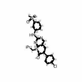 CC(C)Cn1c(=O)c(-c2ccc(Cl)cc2)cc2cnc(Nc3cccc(S(C)(=O)=O)c3)nc21